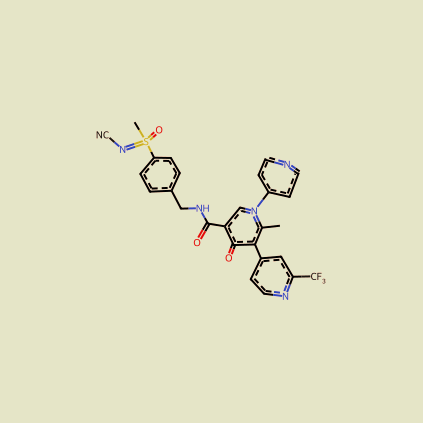 Cc1c(-c2ccnc(C(F)(F)F)c2)c(=O)c(C(=O)NCc2ccc(S(C)(=O)=NC#N)cc2)cn1-c1ccncc1